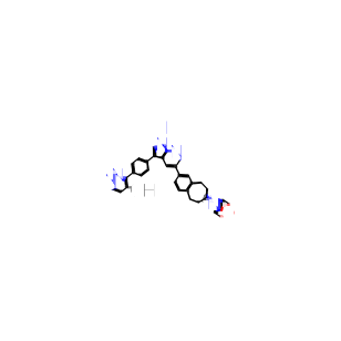 Cc1ccnnc1-c1ccc(-c2c[nH]c3ncc(-c4ccc5c(c4)CC[C@@H](N4C6COCC4C6)CC5)cc23)cc1